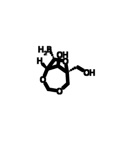 B[C@@H]1O[C@@]2(CO)COCO[C@H]1C2O